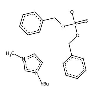 CCCCn1cc[n+](C)c1.[O-]P(=S)(OCc1ccccc1)OCc1ccccc1